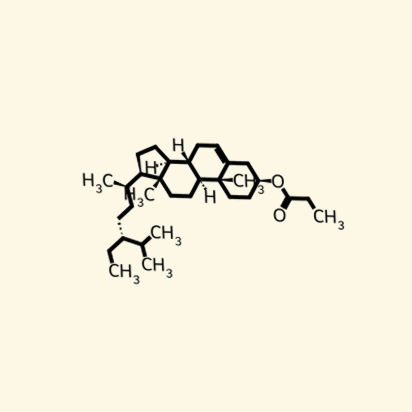 CCC(=O)O[C@H]1CC[C@@]2(C)C(=CC[C@H]3[C@@H]4CC[C@H]([C@H](C)CC[C@@H](CC)C(C)C)[C@@]4(C)CC[C@@H]32)C1